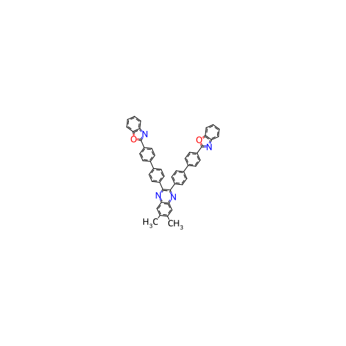 Cc1cc2nc(-c3ccc(-c4ccc(-c5nc6ccccc6o5)cc4)cc3)c(-c3ccc(-c4ccc(-c5nc6ccccc6o5)cc4)cc3)nc2cc1C